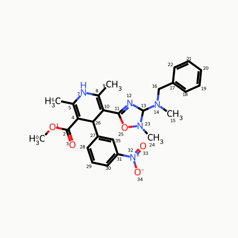 COC(=O)C1=C(C)NC(C)=C(C2=NC(N(C)Cc3ccccc3)N(C)O2)C1c1cccc([N+](=O)[O-])c1